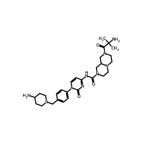 CC(C)(N)C(=O)N1CCN2CCN(C(=O)Nc3ccn(-c4ccc(CN5CCC(N)CC5)cc4)c(=O)n3)CC2C1